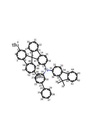 CC(C)(C)c1ccc2c(c1)C1(c3ccccc3-c3ccc(N(c4cccc(-c5ccccc5)c4)c4ccc5c(c4)C(C)(C)c4ccccc4-5)cc31)c1cc(C(C)(C)C)ccc1-2